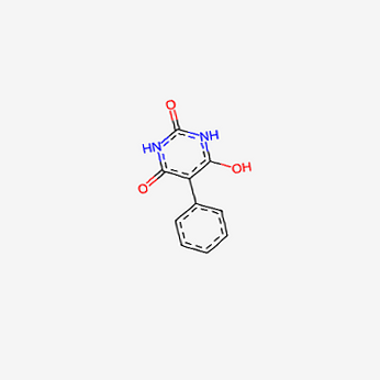 O=c1[nH]c(O)c(-c2ccccc2)c(=O)[nH]1